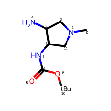 CN1CC(N)C(NC(=O)OC(C)(C)C)C1